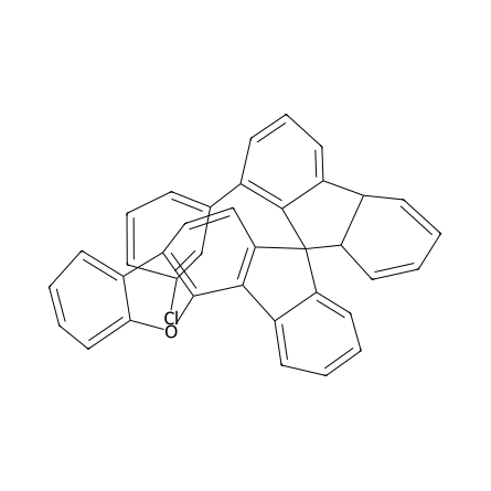 Clc1cccc(-c2cccc3c2C2(c4ccccc4-c4c2ccc2c4oc4ccccc42)C2C=CC=CC32)c1